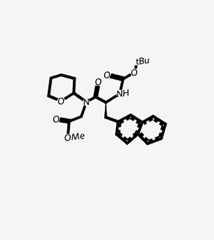 COC(=O)CN(C(=O)[C@H](Cc1ccc2ccccc2c1)NC(=O)OC(C)(C)C)C1CCCCO1